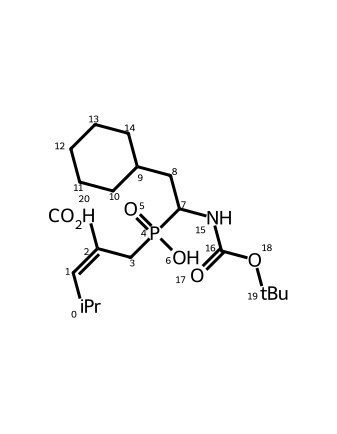 CC(C)/C=C(\CP(=O)(O)C(CC1CCCCC1)NC(=O)OC(C)(C)C)C(=O)O